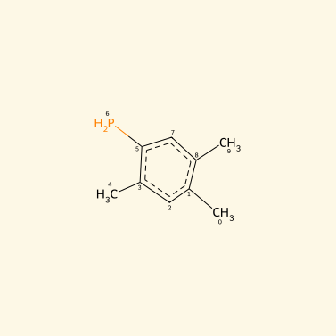 Cc1cc(C)c(P)cc1C